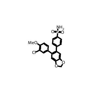 COc1ccc(-c2cc3c(cc2-c2ccc(S(N)(=O)=O)cc2)OCO3)cc1Cl